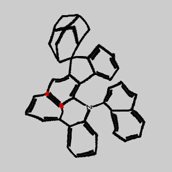 c1ccc(-c2ccccc2N(c2cccc3c2-c2ccccc2C32C3CC4CC(C3)CC2C4)c2cccc3ccccc23)cc1